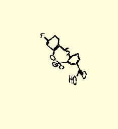 O=C(O)c1ccc2c(c1)C1(OO1)OC1=C(CCC(F)=C1)S2